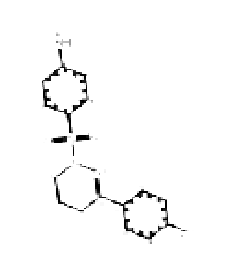 Nc1ccc(S(=O)(=O)N2CCCC(c3ccc(Cl)cc3)=N2)cc1